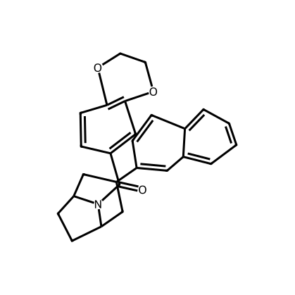 O=C(c1ccc2c(c1)OCCO2)N1C2CCC1CC(c1ccc3ccccc3c1)C2